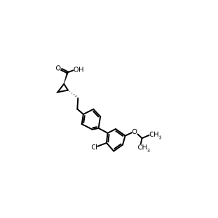 CC(C)Oc1ccc(Cl)c(-c2ccc(CC[C@@H]3C[C@H]3C(=O)O)cc2)c1